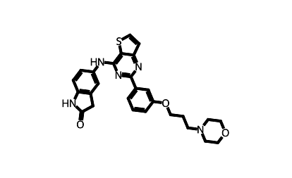 O=C1Cc2cc(Nc3nc(-c4cccc(OCCCN5CCOCC5)c4)nc4ccsc34)ccc2N1